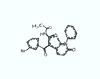 CC(=O)Nc1sc2c(ccc(=O)n2-c2ccccc2)c1C(=O)c1cccc(Br)c1